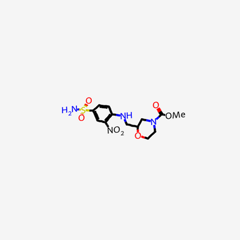 COC(=O)N1CCOC(CNc2ccc(S(N)(=O)=O)cc2[N+](=O)[O-])C1